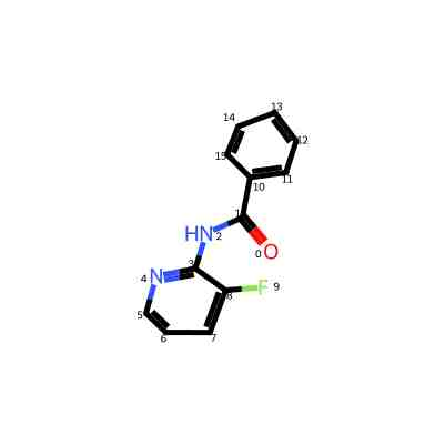 O=C(Nc1ncccc1F)c1ccccc1